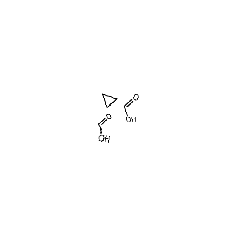 C1CC1.O=CO.O=CO